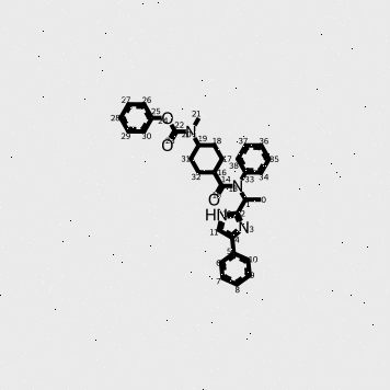 CC(c1nc(-c2ccccc2)c[nH]1)N(C(=O)C1CCC(N(C)C(=O)Oc2ccccc2)CC1)c1ccccc1